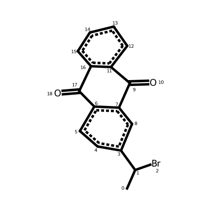 CC(Br)c1ccc2c(c1)C(=O)c1ccccc1C2=O